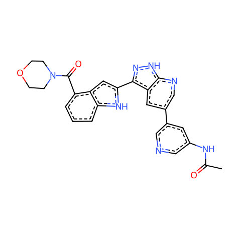 CC(=O)Nc1cncc(-c2cnc3[nH]nc(-c4cc5c(C(=O)N6CCOCC6)cccc5[nH]4)c3c2)c1